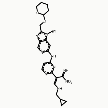 CC(C)n1c(COC2CCCCO2)nc2cnc(Nc3ccnc(/C(=C/NCC4CC4)C(=N)[N+](=O)[O-])n3)cc21